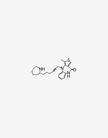 Cc1scc2c1N(CC#CCCCC1CCCCCN1)c1ccccc1NC2=O